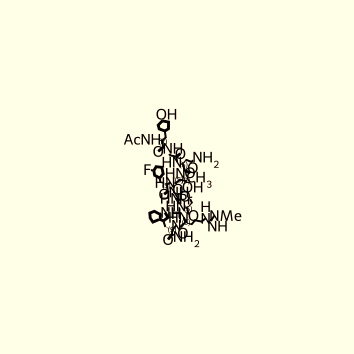 CNC(=N)NCCC[C@H](NC(=O)[C@H](CC(C)C)NC(=O)NNC(=O)[C@H](Cc1cccc(F)c1)NC(=O)[C@@H](NC(=O)[C@H](CC(N)=O)NC(=O)CNC(=O)[C@@H](Cc1ccc(O)cc1)NC(C)=O)[C@@H](C)O)C(=O)N[C@@H](Cc1c[nH]c2ccccc12)C(N)=O